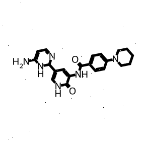 NC1=CC=NC(c2c[nH]c(=O)c(NC(=O)c3ccc(N4CCCCC4)cc3)c2)N1